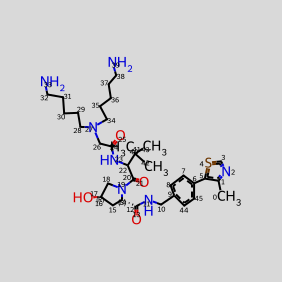 Cc1ncsc1-c1ccc(CNC(=O)[C@@H]2C[C@@H](O)CN2C(=O)C(NC(=O)CN(CCCCCN)CCCCCN)C(C)(C)C)cc1